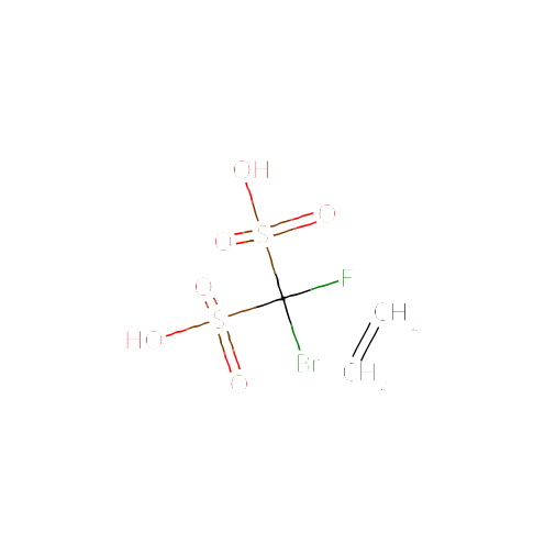 C=C.O=S(=O)(O)C(F)(Br)S(=O)(=O)O